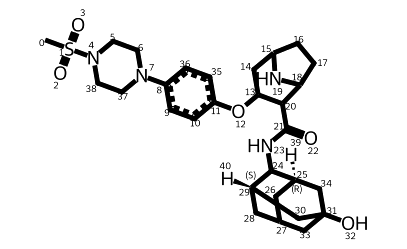 CS(=O)(=O)N1CCN(c2ccc(OC3CC4CCC(N4)C3C(=O)NC3[C@@H]4CC5C[C@H]3CC(O)(C5)C4)cc2)CC1